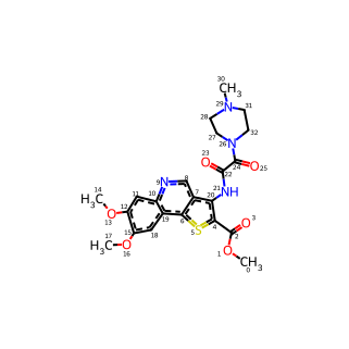 COC(=O)c1sc2c(cnc3cc(OC)c(OC)cc32)c1NC(=O)C(=O)N1CCN(C)CC1